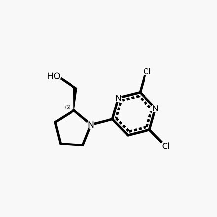 OC[C@@H]1CCCN1c1cc(Cl)nc(Cl)n1